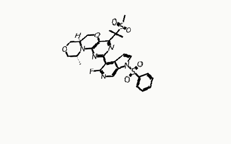 C[C@@H]1COC[C@H]2COc3c(nc(-c4c(F)ncc5c4ccn5S(=O)(=O)c4ccccc4)nc3C(C)(C)S(C)(=O)=O)N21